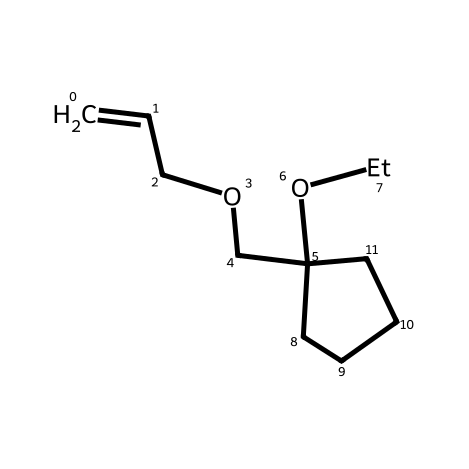 C=CCOCC1(OCC)CCCC1